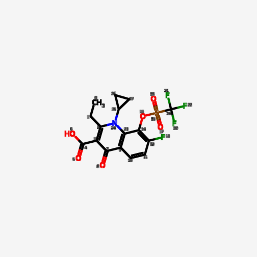 CCc1c(C(=O)O)c(=O)c2ccc(F)c(OS(=O)(=O)C(F)(F)F)c2n1C1CC1